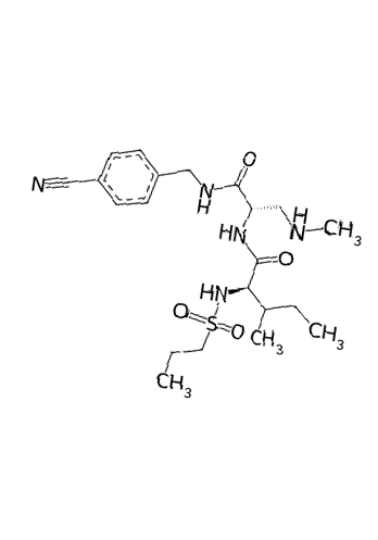 CCCS(=O)(=O)N[C@@H](C(=O)N[C@@H](CNC)C(=O)NCc1ccc(C#N)cc1)C(C)CC